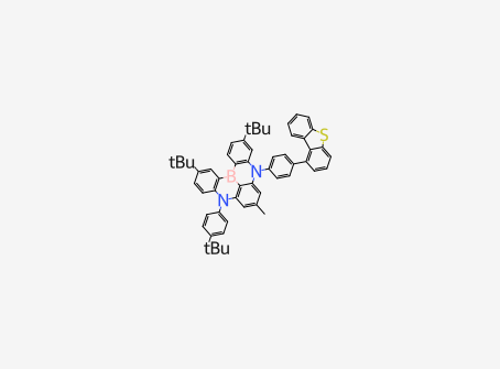 Cc1cc2c3c(c1)N(c1ccc(-c4cccc5sc6ccccc6c45)cc1)c1cc(C(C)(C)C)ccc1B3c1cc(C(C)(C)C)ccc1N2c1ccc(C(C)(C)C)cc1